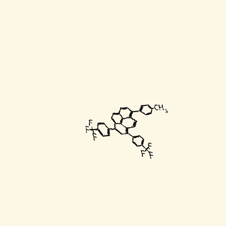 Cc1ccc(-c2ccc3ccc4c(-c5ccc(C(F)(F)F)cc5)cc(-c5ccc(C(F)(F)F)cc5)c5ccc2c3c45)cc1